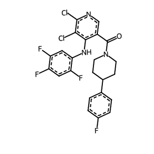 O=C(c1cnc(Cl)c(Cl)c1Nc1cc(F)c(F)cc1F)N1CCC(c2ccc(F)cc2)CC1